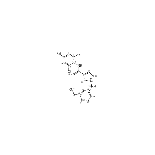 [2H]c1cc(C)c(NC(=O)c2cnc(Nc3cc(CCl)ncn3)s2)c(Cl)c1